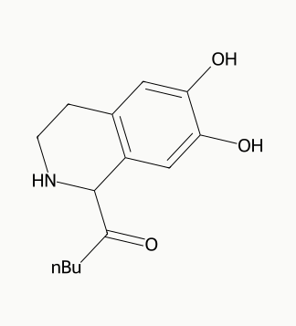 CCCCC(=O)C1NCCc2cc(O)c(O)cc21